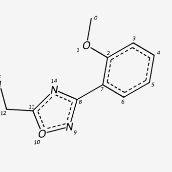 COc1ccccc1-c1noc(CCl)n1